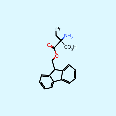 CC(C)C[C@](N)(C(=O)O)C(=O)OCC1c2ccccc2-c2ccccc21